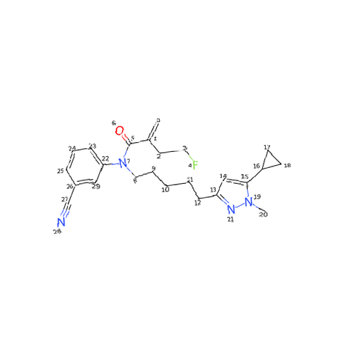 C=C(CCF)C(=O)N(CCCCCc1cc(C2CC2)n(C)n1)c1cccc(C#N)c1